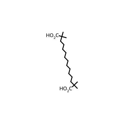 CC(C)(CCCCCCCCCCCC(C)(C)C(=O)O)C(=O)O